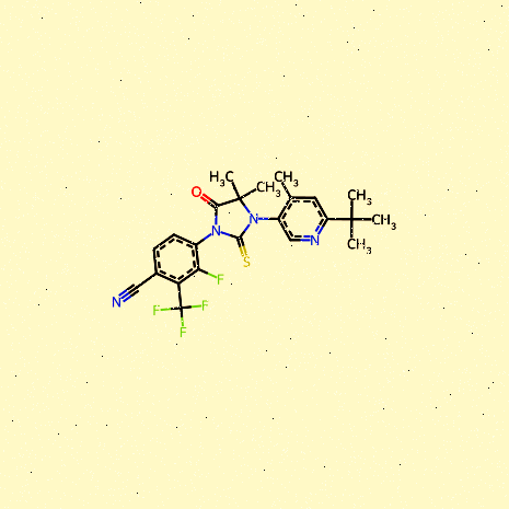 Cc1cc(C(C)(C)C)ncc1N1C(=S)N(c2ccc(C#N)c(C(F)(F)F)c2F)C(=O)C1(C)C